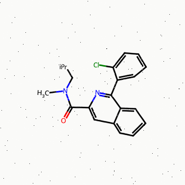 CC(C)CN(C)C(=O)c1cc2ccccc2c(-c2ccccc2Cl)n1